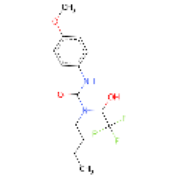 CCCCN(C(=O)Nc1ccc(OC)cc1)C(O)C(F)(F)F